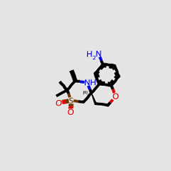 C=C1N[C@@]2(CCOc3ccc(N)cc32)CS(=O)(=O)C1(C)C